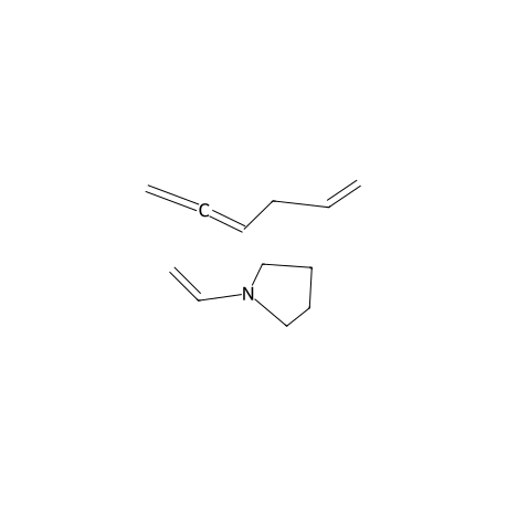 C=C=CCC=C.C=CN1CCCC1